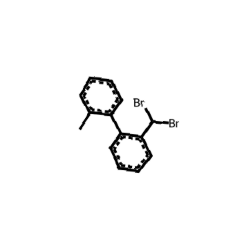 Cc1ccccc1-c1ccccc1C(Br)Br